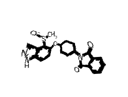 C[S+]([O-])c1c(OC2CCC(N3C(=O)c4ccccc4C3=O)CC2)ccc2[nH]ncc12